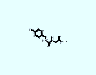 C=C(CCC)CNC(=C)NCc1ccc(CC)cc1